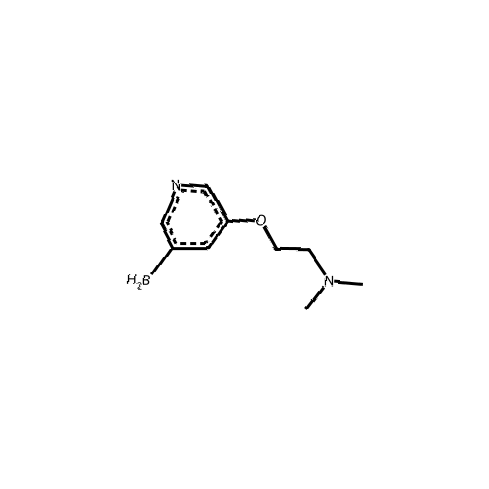 Bc1cncc(OCCN(C)C)c1